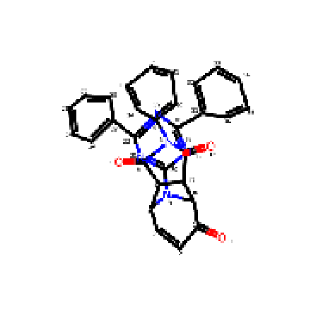 O=C1C=CC2C3C(=O)N(c4ccccc4)C(=O)C3C1N2c1nc(-c2ccccc2)nc(-c2ccccc2)n1